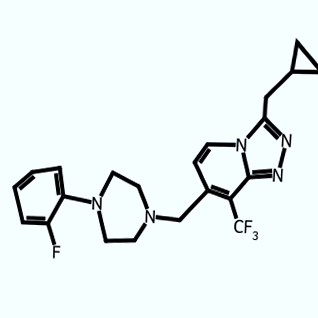 Fc1ccccc1N1CCN(Cc2ccn3c(CC4CC4)nnc3c2C(F)(F)F)CC1